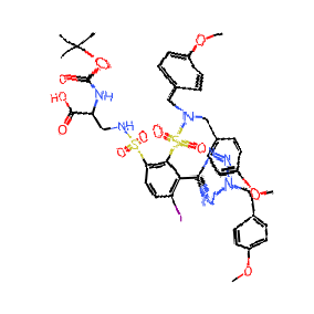 COc1ccc(CN(Cc2ccc(OC)cc2)S(=O)(=O)c2c(S(=O)(=O)NCC(NC(=O)OC(C)(C)C)C(=O)O)ccc(I)c2-c2nnn(Cc3ccc(OC)cc3)n2)cc1